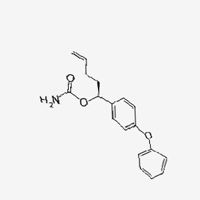 C=CCC[C@H](OC(N)=O)c1ccc(Oc2ccccc2)cc1